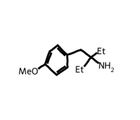 CCC(N)(CC)Cc1ccc(OC)cc1